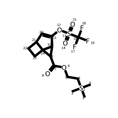 CS(C)(C)CCOC(=O)C1C2C(OS(=O)(=O)C(F)(F)F)=CC3CCC312